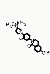 CC(C)COc1ccc2c(c1)CCN(c1ccc(N3CC[C@@H](N(C)C)C3)c(F)c1)C2=O